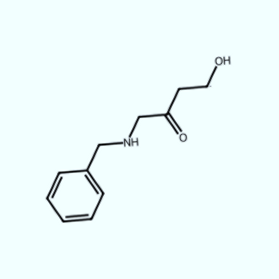 O=C(C[CH]O)CNCc1ccccc1